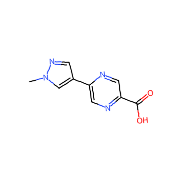 Cn1cc(-c2cnc(C(=O)O)cn2)cn1